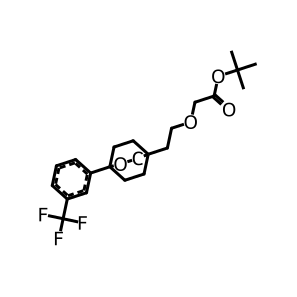 CC(C)(C)OC(=O)COCCC12CCC(c3cccc(C(F)(F)F)c3)(CC1)OC2